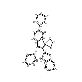 C1=C(c2cc3ccccc3n2-c2ccccn2)C2(CCC2)c2cc(-c3ccccc3)ccc21